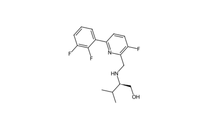 CC(C)[C@H](CO)NCc1nc(-c2cccc(F)c2F)ccc1F